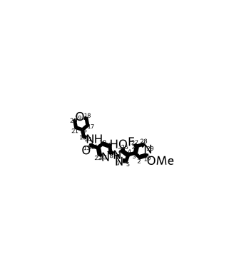 COc1cc(-c2cnn(-c3ccc(C(=O)NCC4CCOCC4)cn3)c2O)c(F)cn1